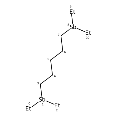 C[CH2][Sb]([CH2]C)[CH2]CCC[CH2][Sb]([CH2]C)[CH2]C